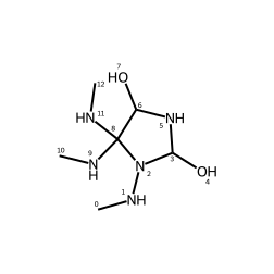 CNN1C(O)NC(O)C1(NC)NC